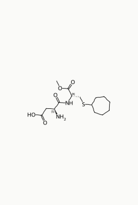 COC(=O)[C@H](CSC1CCCCCC1)NC(=O)[C@@H](N)CC(=O)O